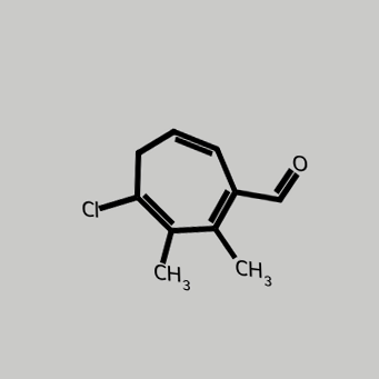 CC1=C(C=O)C=CCC(Cl)=C1C